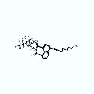 CCCCCCC#Cc1ccc2c3c(cccc13)C(=O)N(OS(=O)(=O)C(F)(F)C(F)(F)C(F)(F)C(F)(F)F)C2=O